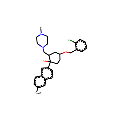 COc1ccc2cc(C3(O)CCC(OCc4ccccc4Cl)CC3CN3CCN(C)CC3)ccc2c1